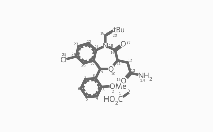 CC(=O)O.COc1ccccc1C1OC(CC(N)=O)C(=O)N(CC(C)(C)C)c2ccc(Cl)cc21